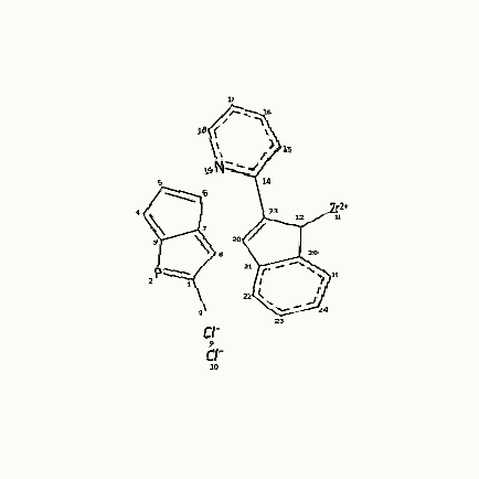 CC1=PC2=CC=CC2=C1.[Cl-].[Cl-].[Zr+2][CH]1C(c2ccccn2)=Cc2ccccc21